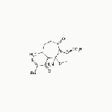 CCC(C)C(=S)C(=O)C1C(C)CCC(=O)N2[C@@H](C(=O)O)CSC12N